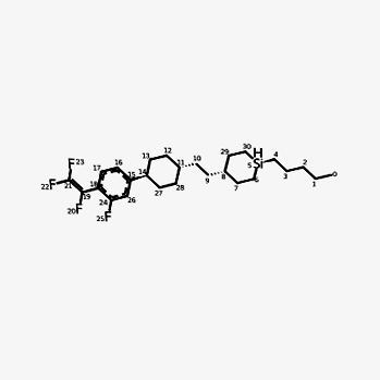 CCCCC[Si@H]1CC[C@H](CC[C@H]2CC[C@H](c3ccc(C(F)=C(F)F)c(F)c3)CC2)CC1